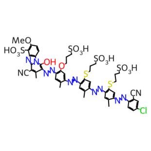 COc1ccc2c(nc3c(C#N)c(C)c(N=Nc4cc(C)c(N=Nc5cc(C)c(N=Nc6cc(C)c(N=Nc7ccc(Cl)cc7C#N)cc6SCCCS(=O)(=O)O)cc5SCCCS(=O)(=O)O)cc4OCCCS(=O)(=O)O)c(O)n32)c1S(=O)(=O)O